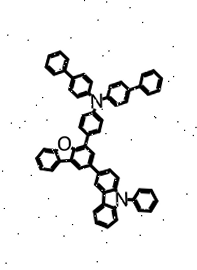 c1ccc(-c2ccc(N(c3ccc(-c4ccccc4)cc3)c3ccc(-c4cc(-c5ccc6c(c5)c5ccccc5n6-c5ccccc5)cc5c4oc4ccccc45)cc3)cc2)cc1